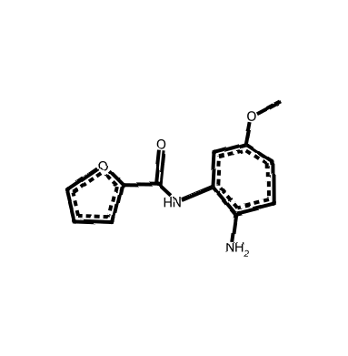 COc1ccc(N)c(NC(=O)c2ccco2)c1